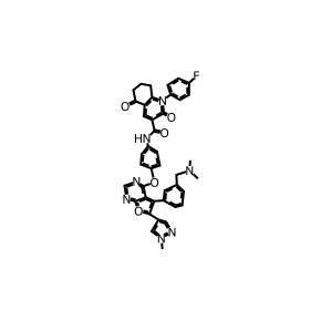 CN(C)Cc1cccc(-c2c(-c3cnn(C)c3)oc3ncnc(Oc4ccc(NC(=O)c5cc6c(n(-c7ccc(F)cc7)c5=O)CCCC6=O)cc4)c23)c1